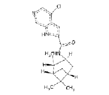 C[C@@H]1[C@@H](NC(=O)c2cc3c(Cl)cncc3[nH]2)C[C@H]2C[C@@H]1C2(C)C